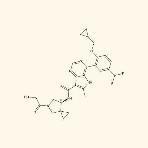 Cc1[nH]c2c(-c3cc(C(F)F)ccc3OCC3CC3)ncnc2c1C(=O)N[C@@H]1CN(C(=O)CO)CC12CC2